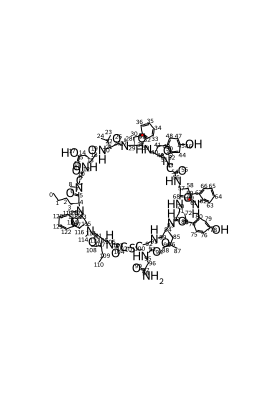 CCCC[C@H]1C(=O)N(C)CC(=O)N[C@@H](CC(=O)O)C(=O)N[C@@H](C(C)C)C(=O)N(C)[C@@H](Cc2ccccc2)C(=O)N[C@@H](Cc2ccc(O)cc2)C(=O)N(C)CC(=O)N[C@@H](Cc2c[nH]c3ccccc23)C(=O)N[C@H](CCc2ccc(O)cc2)C(=O)N[C@@H](CC(C)C)C(=O)N[C@H](C(=O)NCC(N)=O)CSCC(=O)N[C@@H](C(C)CC)C(=O)N(C)[C@@H](Cc2ccccc2)C(=O)N1C